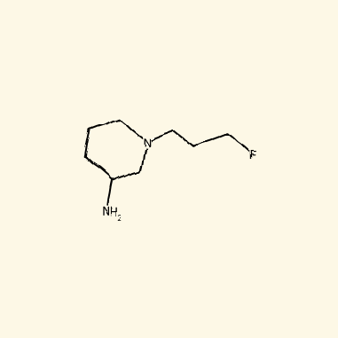 NC1CCCN(CCCF)C1